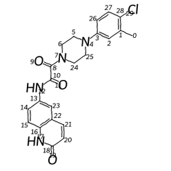 Cc1cc(N2CCN(C(=O)C(=O)Nc3ccc4[nH]c(=O)ccc4c3)CC2)ccc1Cl